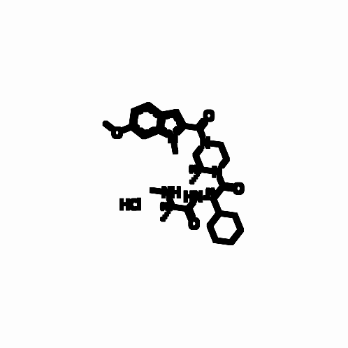 CN[C@@H](C)C(=O)N[C@H](C(=O)N1CCN(C(=O)c2cc3ccc(OC)cc3n2C)C[C@H]1C)C1CCCCC1.Cl